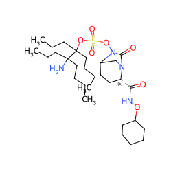 CCCCC(N)(CCC)C(CCC)(CCCC)OS(=O)(=O)ON1C(=O)N2CC1CC[C@H]2C(=O)NOC1CCCCC1